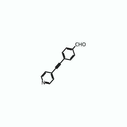 O=Cc1ccc(C#Cc2ccncc2)cc1